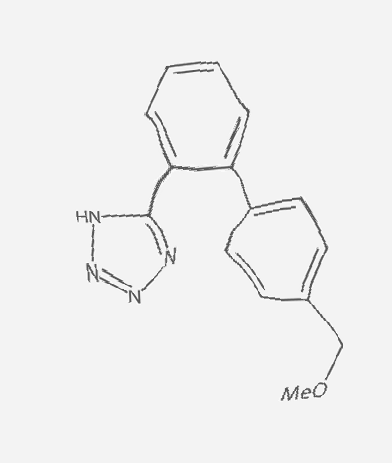 COCc1ccc(-c2ccccc2-c2nnn[nH]2)cc1